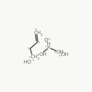 C=CCC.Cl.Cl.O=[PH](O)O